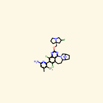 Cc1cc(N)nc(-c2c(Cl)c3c4c(nc(OC[C@@]56CCCN5CC(F)C6)nc4c2F)N2CC4CCC(N4)C2CC3)c1C(F)(F)F